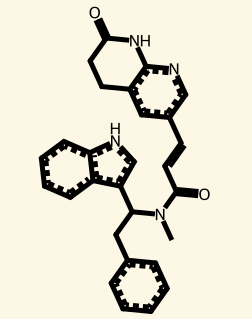 CN(C(=O)C=Cc1cnc2c(c1)CCC(=O)N2)C(Cc1ccccc1)c1c[nH]c2ccccc12